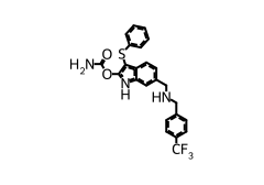 NC(=O)Oc1[nH]c2cc(CNCc3ccc(C(F)(F)F)cc3)ccc2c1Sc1ccccc1